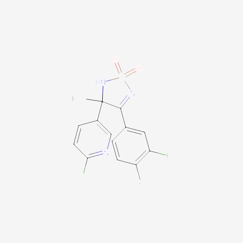 CC1(c2ccc(Cl)nc2)NS(=O)(=O)N=C1c1ccc(Cl)c(F)c1